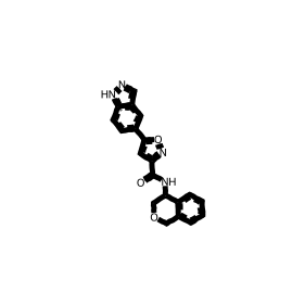 O=C(NC1COCc2ccccc21)c1cc(-c2ccc3[nH]ncc3c2)on1